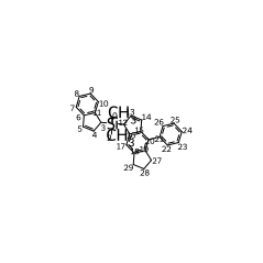 C[Si](C)(C1C=Cc2ccccc21)C1C=Cc2c1cc1c(c2-c2ccccc2)CCC1